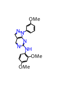 COc1cccc(-n2ncc3cnc(Nc4ccc(OC)cc4OC)nc32)c1